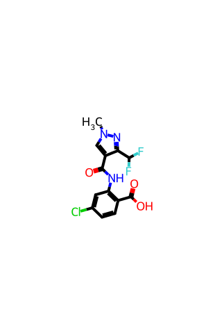 Cn1cc(C(=O)Nc2cc(Cl)ccc2C(=O)O)c(C(F)F)n1